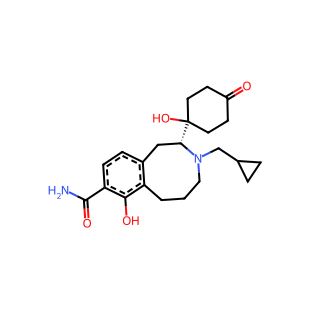 NC(=O)c1ccc2c(c1O)CCCN(CC1CC1)[C@@H](C1(O)CCC(=O)CC1)C2